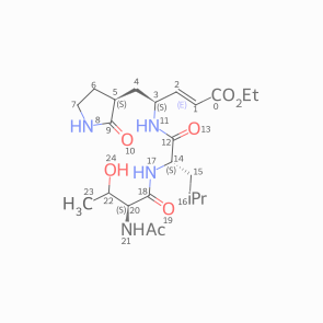 CCOC(=O)/C=C/[C@H](C[C@@H]1CCNC1=O)NC(=O)[C@H](CC(C)C)NC(=O)[C@@H](NC(C)=O)C(C)O